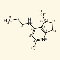 CCCNc1nc(Cl)nc2c1[S+]([O-])CC2